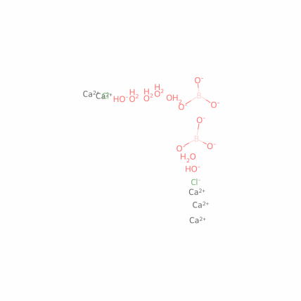 O.O.O.O.O.[Ca+2].[Ca+2].[Ca+2].[Ca+2].[Ca+2].[Cl-].[Cl-].[O-]B([O-])[O-].[O-]B([O-])[O-].[OH-].[OH-]